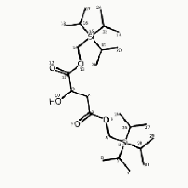 CC(C)[Si](COC(=O)CC(O)C(=O)OC[Si](C(C)C)(C(C)C)C(C)C)(C(C)C)C(C)C